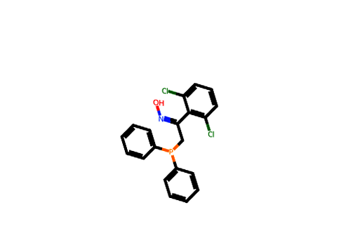 ON=C(CP(c1ccccc1)c1ccccc1)c1c(Cl)cccc1Cl